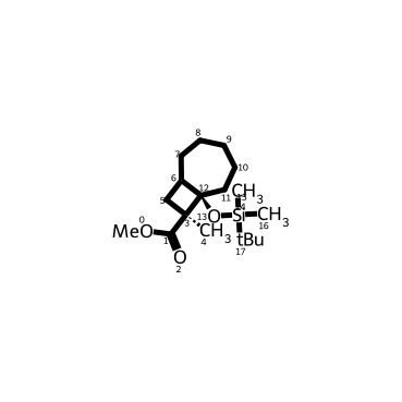 COC(=O)[C@@]1(C)CC2CCCCC[C@@]21O[Si](C)(C)C(C)(C)C